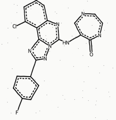 O=c1nccncc1Nc1nc2cccc(Cl)c2c2nc(-c3ccc(F)cc3)nn12